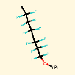 CCCOC(F)(F)C(F)(F)C(F)(F)C(F)(F)C(F)(F)C(C)(F)F